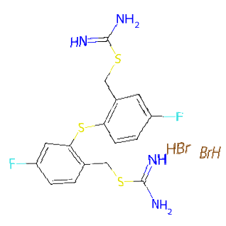 Br.Br.N=C(N)SCc1cc(F)ccc1Sc1cc(F)ccc1CSC(=N)N